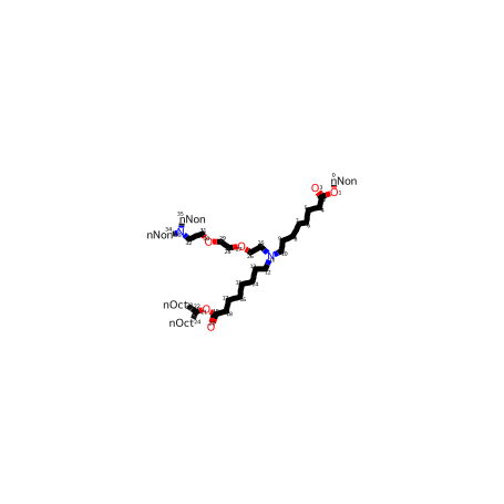 CCCCCCCCCOC(=O)CCCCCCCN(CCCCCCCC(=O)OC(CCCCCCCC)CCCCCCCC)CCOCCOCCN(CCCCCCCCC)CCCCCCCCC